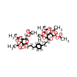 CC(=O)OC[C@H]1O[C@H](CCCc2ccc(CCC[C@H]3O[C@H](COC(C)=O)[C@@H](OC(C)=O)[C@H](OC(C)=O)[C@@H]3O)cc2)[C@@H](OC(C)=O)[C@@H](OC(C)=O)[C@@H]1OC(C)=O